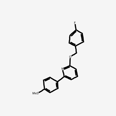 CSc1ccc(-c2cccc(OCc3ccc(F)cc3)n2)cc1